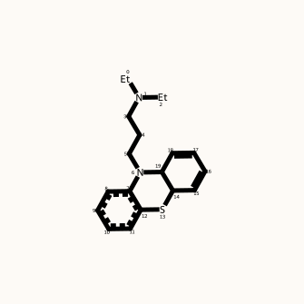 CCN(CC)CCCN1c2ccccc2SC2C=CC=CC21